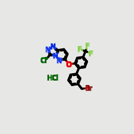 Cl.FC(F)(F)c1ccc(-c2cccc(CBr)c2)c(Oc2ccc3nnc(Cl)n3n2)c1